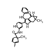 Cc1cc(F)ccc1C(=O)NC1=CC(c2[nH]c3c(c2Nc2ccccc2)C(=O)[C@@H]2C[C@]2(C)C3)=CCN1